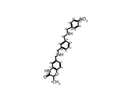 CC1Oc2ccc(CNCc3cccc(CNCc4ccc([N+](=O)[O-])cc4)c3)cc2NC1=O